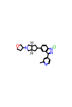 Cc1cc(-c2nn(Cl)c3ccc(C4C[C@@H]5CN(C6CCOC6)C[C@@H]5C4)cc23)ccn1